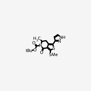 CSc1sc(-c2cc[nH]n2)c2c1C(=O)N(C(=O)OC(C)(C)C)C(C)C2